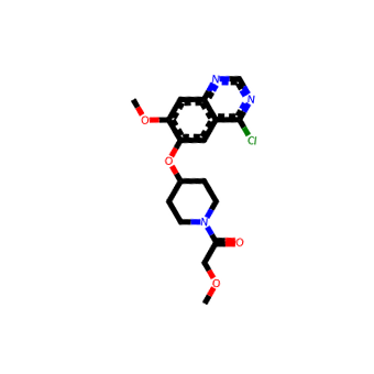 COCC(=O)N1CCC(Oc2cc3c(Cl)ncnc3cc2OC)CC1